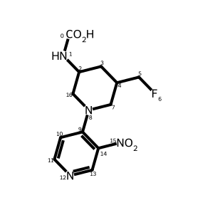 O=C(O)NC1CC(CF)CN(c2ccncc2[N+](=O)[O-])C1